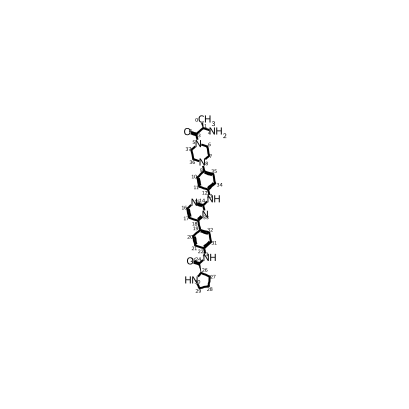 C[C@@H](N)C(=O)N1CCN(c2ccc(Nc3nccc(-c4ccc(NC(=O)[C@H]5CCCN5)cc4)n3)cc2)CC1